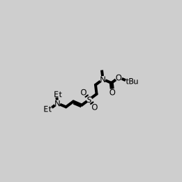 CCN(CC)C/C=C/S(=O)(=O)CCN(C)C(=O)OC(C)(C)C